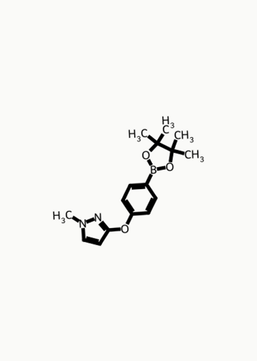 Cn1ccc(Oc2ccc(B3OC(C)(C)C(C)(C)O3)cc2)n1